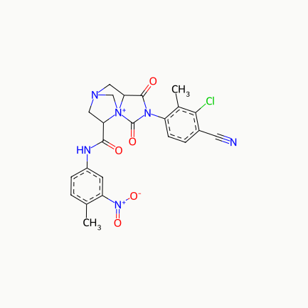 Cc1ccc(NC(=O)C2CN3CC4C(=O)N(c5ccc(C#N)c(Cl)c5C)C(=O)[N+]24C3)cc1[N+](=O)[O-]